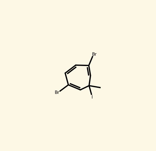 CC1(I)C=C(Br)C=CC(Br)=C1